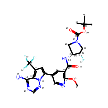 COc1ncc(-c2cc(C(F)(F)F)c3c(N)ncnn23)cc1C(=O)N[C@@H]1CN(C(=O)OC(C)(C)C)C[C@@H]1F